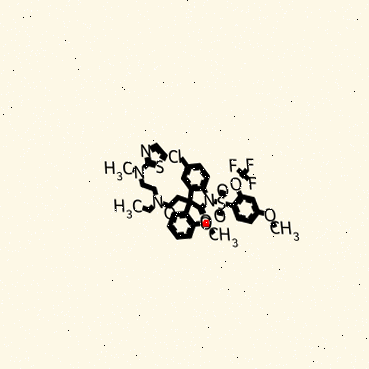 CCN(CCN(C)c1nccs1)C(=O)CC1(c2ccccc2OC)C(=O)N(S(=O)(=O)c2ccc(OC)cc2OC(F)(F)F)c2ccc(Cl)cc21